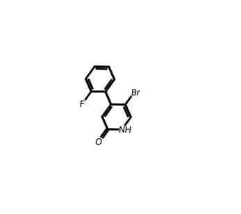 O=c1cc(-c2ccccc2F)c(Br)c[nH]1